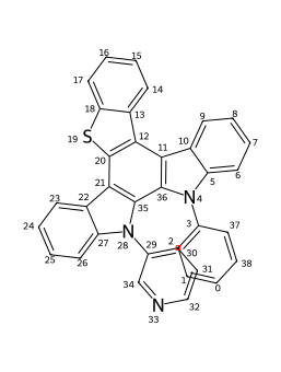 c1ccc(-n2c3ccccc3c3c4c5ccccc5sc4c4c5ccccc5n(-c5cccnc5)c4c32)cc1